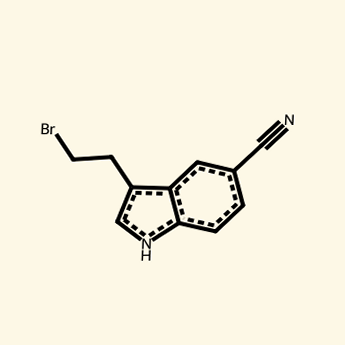 N#Cc1ccc2[nH]cc(CCBr)c2c1